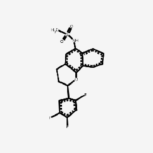 CS(=O)(=O)Nc1cc2c(c3ccccc13)OC(c1cc(F)c(F)cc1F)CC2